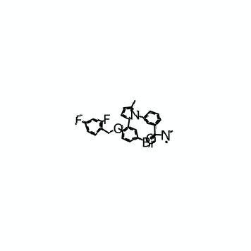 Cc1ccc(-c2cc(Br)ccc2OCc2ccc(F)cc2F)n1-c1cccc(C(=O)N(C)C)c1